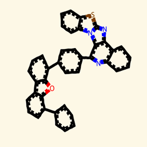 c1ccc(-c2cccc3c2oc2c(-c4ccc(-c5nc6ccccc6c6nc7sc8ccccc8n7c56)cc4)cccc23)cc1